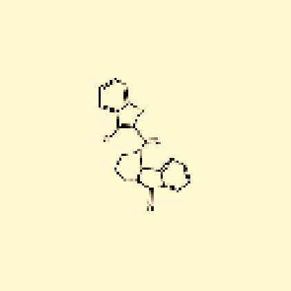 O=C1c2ccccc2C2N1CCCN2C(=O)c1sc2ccccc2c1Cl